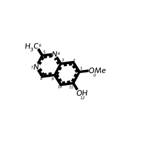 COc1cc2nc(C)ncc2cc1O